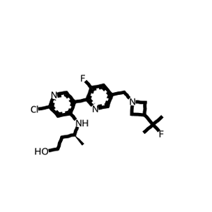 C[C@@H](CCO)Nc1cc(Cl)ncc1-c1ncc(CN2CC(C(C)(C)F)C2)cc1F